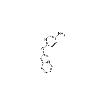 Nc1ccc(Oc2cc3ccccn3c2)nc1